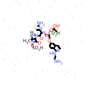 CC1(C)[C@H](NC(=O)/C(=N\O[C@@H](COc2ccc3c(NCCN)nccc3c2)C(=O)O)c2csc(N)n2)C(=O)N1OS(=O)(=O)O.O=C(O)C(F)(F)F